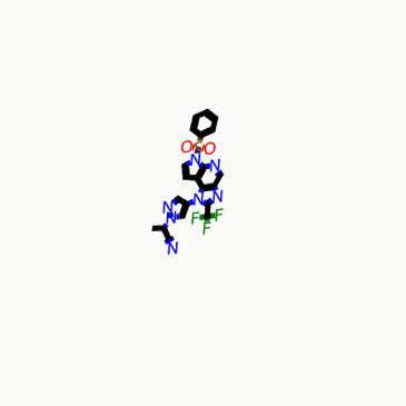 CC(C#N)n1cc(-n2c(C(F)(F)F)nc3cnc4c(ccn4S(=O)(=O)c4ccccc4)c32)cn1